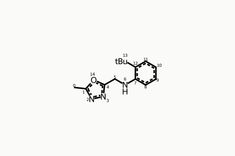 Cc1nnc(CNc2ccccc2C(C)(C)C)o1